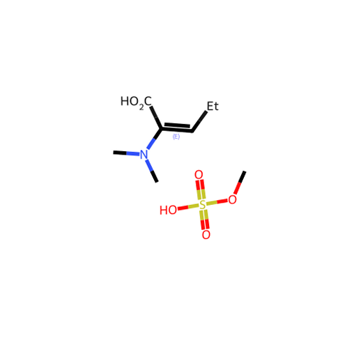 CC/C=C(\C(=O)O)N(C)C.COS(=O)(=O)O